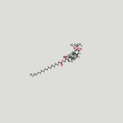 CCCCCCCCCCCCCCCC(=O)OCC(=O)[C@H]1CC[C@H]2[C@@H]3CCC4=CC(=O)C5(C[C@]4(C)[C@H]3CC[C@]12C)OC(C)(C)O5